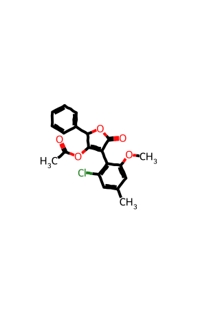 COc1cc(C)cc(Cl)c1C1=C(OC(C)=O)C(c2ccccc2)OC1=O